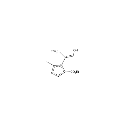 CCOC(=O)/C(=C\O)n1c(C)ccc1C(=O)OCC